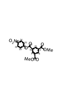 COC(=O)c1cc(C(=O)OC)cc(C(=O)Oc2ccc([N+](=O)[O-])cc2)c1